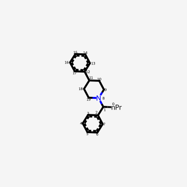 CCCC(c1ccccc1)N1CCC(c2ccccc2)CC1